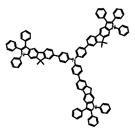 CC1(C)c2cc(-c3ccc(N(c4ccc(-c5ccc6c(c5)Cc5cc7c(cc5-6)c(-c5ccccc5)c(-c5ccccc5)n7-c5ccccc5)cc4)c4ccc(-c5ccc6c(c5)C(C)(C)c5cc7c(cc5-6)c(-c5ccccc5)c(-c5ccccc5)n7-c5ccccc5)cc4)cc3)ccc2-c2cc3c(-c4ccccc4)c(-c4ccccc4)n(-c4ccccc4)c3cc21